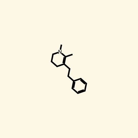 CC1=C(CCc2ccccc2)CCCN1C